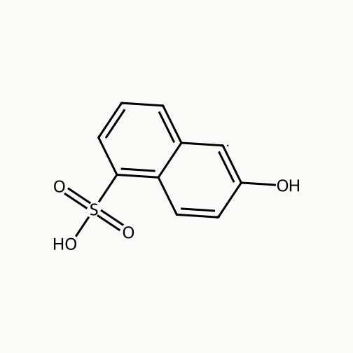 O=S(=O)(O)c1cccc2[c]c(O)ccc12